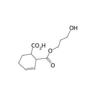 O=C(OCCCO)C1C=CCCC1C(=O)O